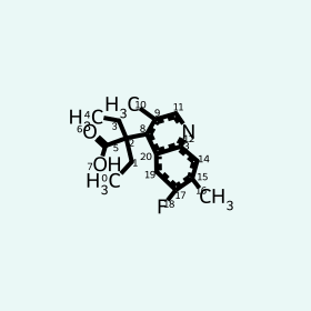 CCC(CC)(C(=O)O)c1c(C)cnc2cc(C)c(F)cc12